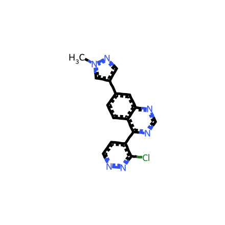 Cn1cc(-c2ccc3c(-c4ccnnc4Cl)ncnc3c2)cn1